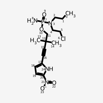 CCCN(CCCl)P(N)(=O)OCC(C)(C)C#Cc1ccc([N+](=O)[O-])[nH]1